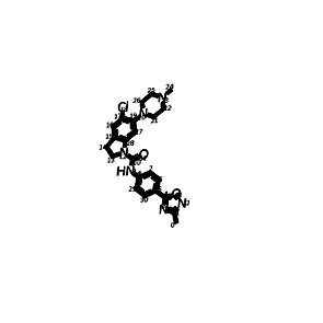 Cc1noc(-c2ccc(NC(=O)N3CCc4cc(Cl)c(N5CCN(C)CC5)cc43)cc2)n1